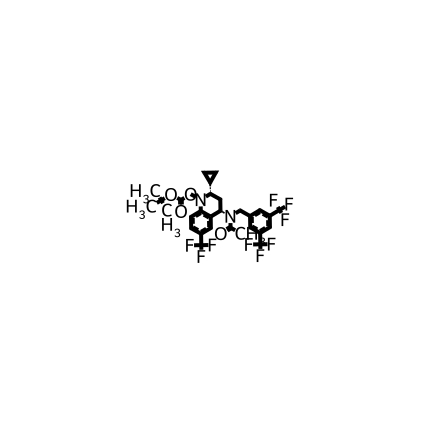 CC(=O)N(Cc1cc(C(F)(F)F)cc(C(F)(F)F)c1)[C@H]1C[C@@H](C2CC2)N(OC(=O)OC(C)(C)C)c2ccc(C(F)(F)F)cc21